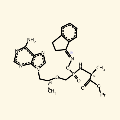 CC(C)OC(=O)[C@H](C)NP(=O)(CO[C@H](C)Cn1cnc2c(N)ncnc21)O/N=C1\CCc2ccccc21